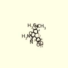 CN(C)c1ccc2c(c1)OC(N)=C(C#N)C2c1ccc2c(c1)OCO2